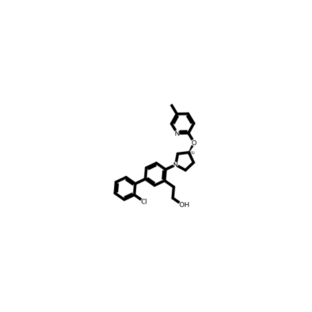 Cc1ccc(O[C@H]2CCN(c3ccc(-c4ccccc4Cl)cc3CCO)C2)nc1